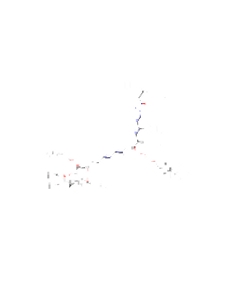 COCO[C@H](CO[Si](C(C)C)(C(C)C)C(C)C)[C@@H](CC/C=C/C=C(\C)C[C@@H](OCOCC[Si](C)(C)C)[C@H](C)/C=C(C)/C=C/NC(=O)C=C(C)C)O[Si](C)(C)C(C)(C)C